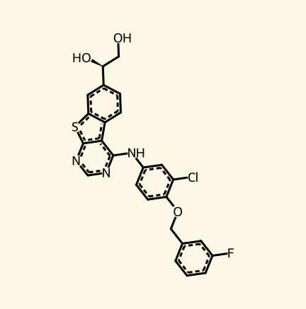 OC[C@H](O)c1ccc2c(c1)sc1ncnc(Nc3ccc(OCc4cccc(F)c4)c(Cl)c3)c12